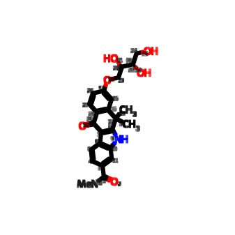 CNC(=O)c1ccc2c3c([nH]c2c1)C(C)(C)c1cc(OC[C@@H](O)[C@H](O)CO)ccc1C3=O